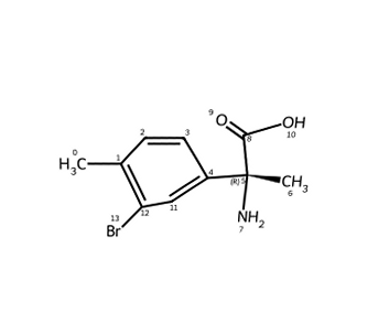 Cc1ccc([C@@](C)(N)C(=O)O)cc1Br